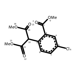 COC(=O)c1cc(Cl)ccc1C(C(=O)OC)C(=O)OC